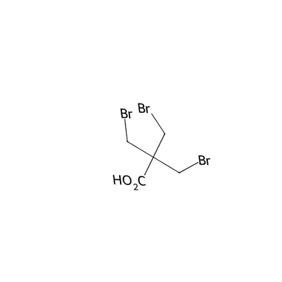 O=C(O)C(CBr)(CBr)CBr